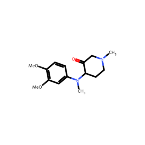 COc1ccc(N(C)C2CCN(C)CC2=O)cc1OC